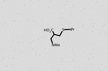 CNCC(CSC(C)C)C(=O)O